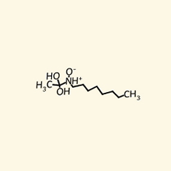 CCCCCCCC[NH+]([O-])C(C)(O)O